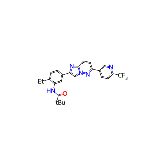 CCc1ccc(-c2cn3nc(-c4ccc(C(F)(F)F)nc4)ccc3n2)cc1NC(=O)C(C)(C)C